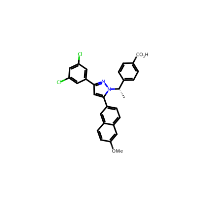 COc1ccc2cc(-c3cc(-c4cc(Cl)cc(Cl)c4)nn3[C@@H](C)c3ccc(C(=O)O)cc3)ccc2c1